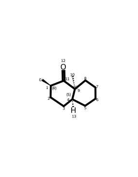 C[C@@H]1CC[C@@H]2CCCC[C@]2(C)C1=O